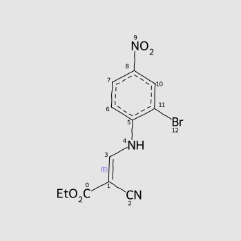 CCOC(=O)/C(C#N)=C/Nc1ccc([N+](=O)[O-])cc1Br